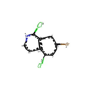 Clc1cc(Br)cc2c(Cl)nccc12